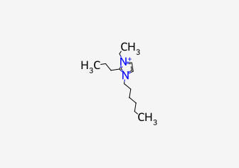 CCCCCCn1cc[n+](CC)c1CCC